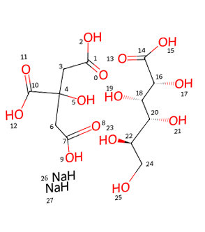 O=C(O)CC(O)(CC(=O)O)C(=O)O.O=C(O)[C@H](O)[C@@H](O)[C@H](O)[C@H](O)CO.[NaH].[NaH]